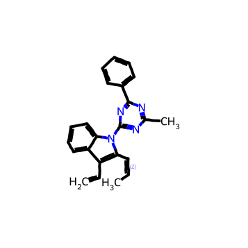 C=Cc1c(/C=C\C)n(-c2nc(C)nc(-c3ccccc3)n2)c2ccccc12